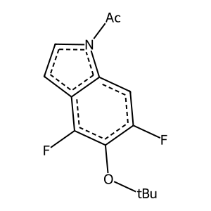 CC(=O)n1ccc2c(F)c(OC(C)(C)C)c(F)cc21